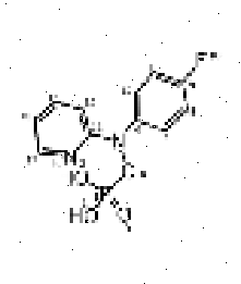 O=P(O)(O)ON(c1ccc(F)cc1)c1ccccn1